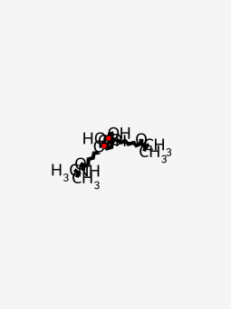 CC(C)NC(=O)CCCCCOC12CCC(OCCCCCC(=O)C(C)C)(C(CO)O1)C(O)C2O